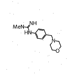 CNC(=N)Nc1ccc(CN2CCOCC2)cc1